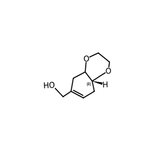 OCC1=CC[C@H]2OCCOC2C1